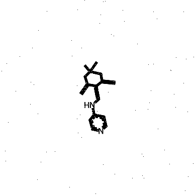 C=C1CC(C)(C)CC(=C)C1=CNc1ccncc1